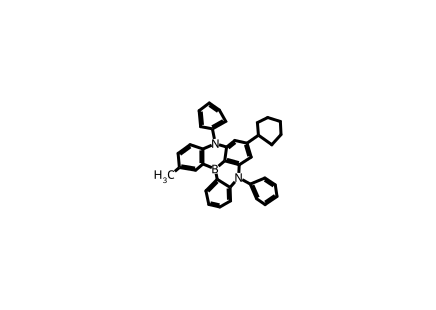 Cc1ccc2c(c1)B1c3ccccc3N(c3ccccc3)c3cc(C4CCCCC4)cc(c31)N2c1ccccc1